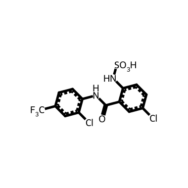 O=C(Nc1ccc(C(F)(F)F)cc1Cl)c1cc(Cl)ccc1NS(=O)(=O)O